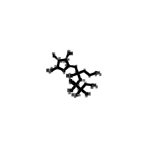 B[C@@H]1O[C@H](CC(C)(CCC)OP(=O)(O)C(C)(O)CC)[C@@H](O)[C@H]1F